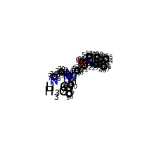 CC1(C)c2ccccc2-c2ccc(-c3nc(-c4ccc(-c5ccc(N(c6ccc7c(c6)C6(c8ccccc8-c8ccccc86)c6ccccc6-7)c6ccccc6-c6ccccc6)cc5)cc4)nc(-c4cccc(-c5cccnc5)c4)n3)cc21